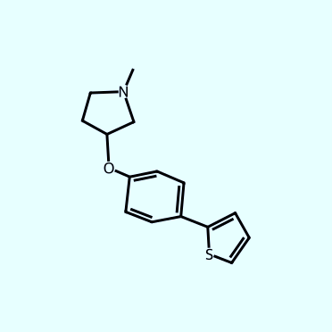 CN1CCC(Oc2ccc(-c3cccs3)cc2)C1